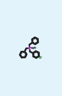 CCC[P+](Cc1ccccc1)(Cc1ccccc1)Cc1ccccc1.[Cl-]